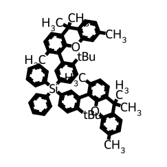 Cc1ccc2c(c1)Oc1c(ccc(C)c1-c1cc([Si](c3ccccc3)(c3ccccc3)c3ccc(C(C)(C)C)c(-c4c(C)ccc5c4Oc4cc(C)ccc4C5(C)C)c3)ccc1C(C)(C)C)C2(C)C